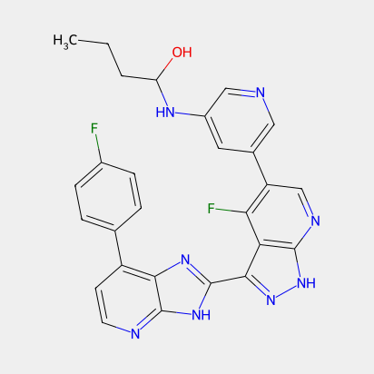 CCCC(O)Nc1cncc(-c2cnc3[nH]nc(-c4nc5c(-c6ccc(F)cc6)ccnc5[nH]4)c3c2F)c1